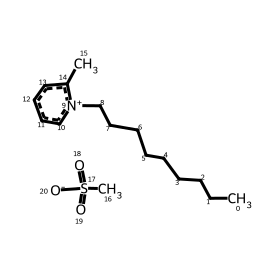 CCCCCCCCC[n+]1ccccc1C.CS(=O)(=O)[O-]